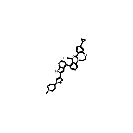 CN1CCC(n2cc(-c3cc4c(-c5cccc(N6CCOc7cc(C8CC8)ccc7C6=O)c5CO)ccnc4[nH]3)cn2)CC1